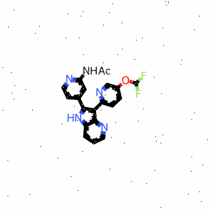 CC(=O)Nc1cc(-c2[nH]c3cccnc3c2-c2ccc(OC(F)F)cn2)ccn1